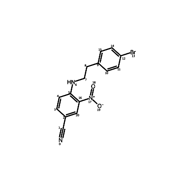 N#Cc1ccc(NCCc2ccc(Br)cc2)c([N+](=O)[O-])c1